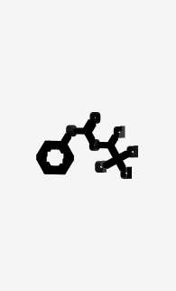 O=C(Oc1ccccc1)OC(Cl)C(Cl)(Cl)Cl